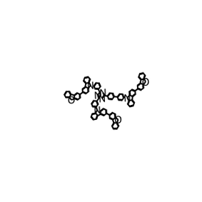 c1cc(-c2nc(-c3ccc(-c4ccc(-n5c6ccccc6c6cc(-c7ccc8oc9ccccc9c8c7)ccc65)cc4)cc3)nc(-c3cccc(-n4c5ccccc5c5cc(-c6ccc7oc8ccccc8c7c6)ccc54)c3)n2)cc(-n2c3ccccc3c3cc(-c4ccc5oc6ccccc6c5c4)ccc32)c1